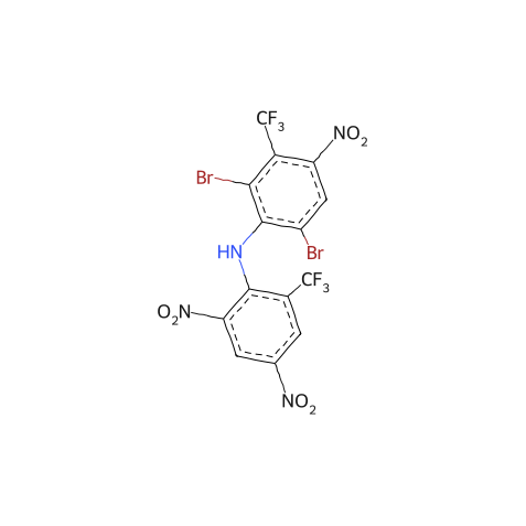 O=[N+]([O-])c1cc([N+](=O)[O-])c(Nc2c(Br)cc([N+](=O)[O-])c(C(F)(F)F)c2Br)c(C(F)(F)F)c1